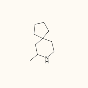 CC1CC2(CCCC2)CCN1